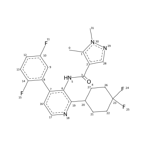 Cc1c(C(=O)Nc2c(-c3cc(F)ccc3F)ccnc2C2CCC(F)(F)CC2)cnn1C